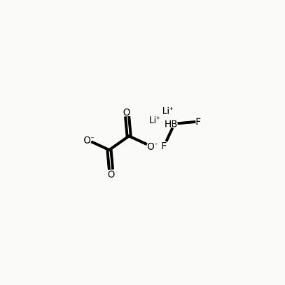 FBF.O=C([O-])C(=O)[O-].[Li+].[Li+]